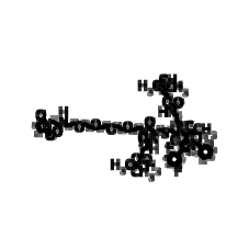 CC(C)(C)OC(=O)CCC(=O)N[C@@H](CSCC(=O)N(CCCNC(=O)OCC[Si](C)(C)C)[C@@H](c1cc(-c2cc(F)ccc2F)cn1Cc1ccccc1)C(C)(C)C)C(=O)NCCOCCOCCOCCOCCNC(=O)CN1C(=O)C=CC1=O